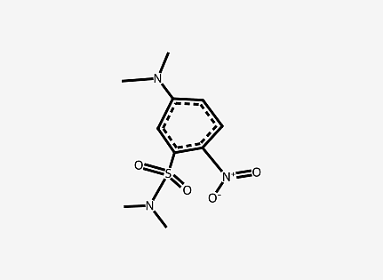 CN(C)c1ccc([N+](=O)[O-])c(S(=O)(=O)N(C)C)c1